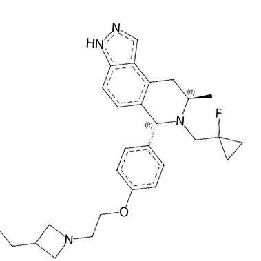 C[C@@H]1Cc2c(ccc3[nH]ncc23)[C@@H](c2ccc(OCCN3CC(CF)C3)cc2)N1CC1(F)CC1